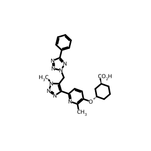 Cc1nc(-c2nnn(C)c2Cn2nnc(-c3ccccc3)n2)ccc1O[C@H]1CCC[C@H](C(=O)O)C1